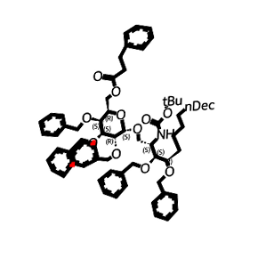 CCCCCCCCCCCCCC[C@@H](OCc1ccccc1)[C@@H](OCc1ccccc1)[C@H](CO[C@H]1O[C@H](COC(=O)CCc2ccccc2)[C@H](OCc2ccccc2)[C@H](OCc2ccccc2)[C@H]1OCc1ccccc1)NC(=O)OC(C)(C)C